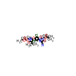 CC(C)OC(=O)OC(C)n1nc(Oc2c(Cl)cc(-n3nc(C#N)c(=O)n(C(C)OC(=O)C(C)C)c3=O)cc2Cl)cc(C(C)C)c1=O